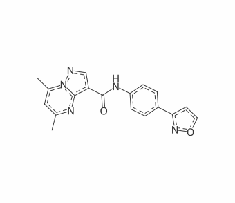 Cc1cc(C)n2ncc(C(=O)Nc3ccc(-c4ccon4)cc3)c2n1